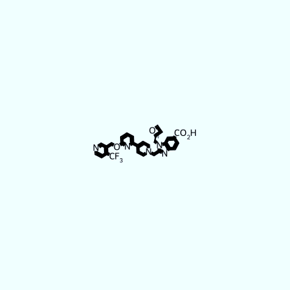 O=C(O)c1ccc2nc(CN3CC=C(c4cccc(OCc5cnccc5C(F)(F)F)n4)CC3)n(C[C@@H]3CCO3)c2c1